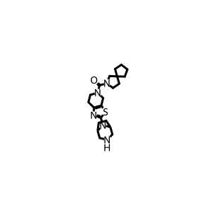 O=C(N1CCc2nc(N3C4CCC3CNC4)sc2C1)N1CCC2(CCCC2)C1